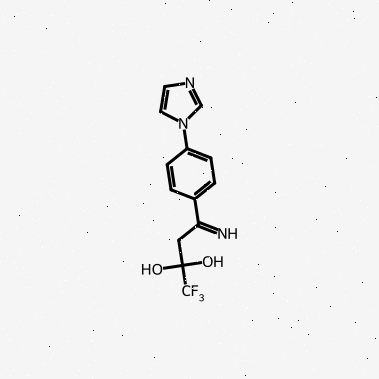 N=C(CC(O)(O)C(F)(F)F)c1ccc(-n2ccnc2)cc1